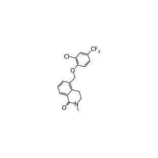 CN1CCc2c(COc3ccc(C(F)(F)F)cc3Cl)cccc2C1=O